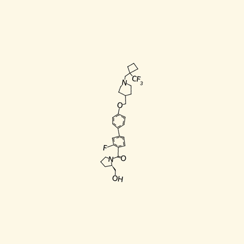 O=C(c1ccc(-c2ccc(OCC3CCN(CC4(C(F)(F)F)CCC4)CC3)cc2)cc1F)N1CCC[C@@H]1CO